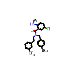 CC(C)Nc1ccc(Cl)cc1C(=O)N(CCc1cccc(C(F)(F)F)c1)Cc1ccc(C(C)(C)C)cc1